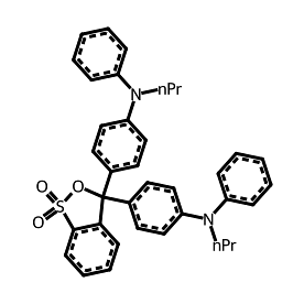 CCCN(c1ccccc1)c1ccc(C2(c3ccc(N(CCC)c4ccccc4)cc3)OS(=O)(=O)c3ccccc32)cc1